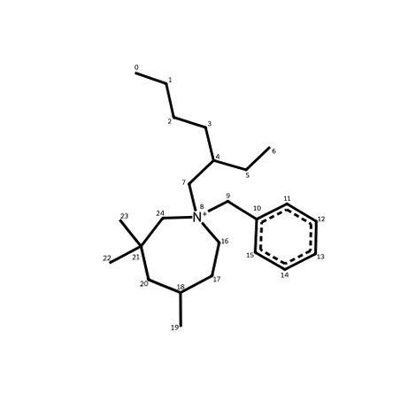 CCCCC(CC)C[N+]1(Cc2ccccc2)CCC(C)CC(C)(C)C1